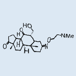 CNCCO/N=C1/CC[C@@]2(C)C(C1)[C@@H](CO)C(=O)[C@@H]1[C@@H]2CC[C@]2(C)C(=O)CC[C@@H]12